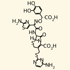 Nc1ccnc(SCC2=C(C(=O)O)N3C(=O)C(NC(=O)/C(=N\O[C@@H](C(=O)O)c4ccc(O)c(O)c4)c4csc(N)n4)[C@H]3SC2)n1